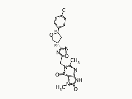 Cc1nc2[nH]c(=O)n(C)c2c(=O)n1Cc1nc([C@@H]2CO[C@@H](c3ccc(Cl)cc3)C2)no1